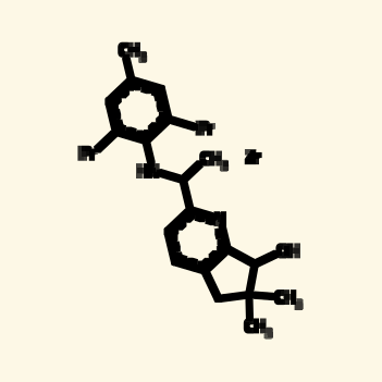 Cc1cc(C(C)C)c(NC(C)c2ccc3c(n2)C(O)C(C)(C)C3)c(C(C)C)c1.[Zr]